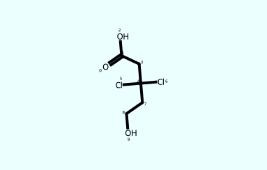 O=C(O)CC(Cl)(Cl)CCO